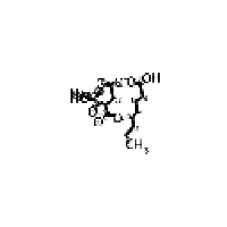 CCCCCCCC(=O)O.O=C([O-])CC(C(=O)[O-])S(=O)(=O)O.[Na+].[Na+]